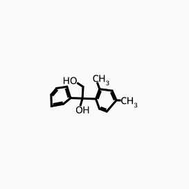 Cc1ccc(C(O)(CO)c2ccccc2)c(C)c1